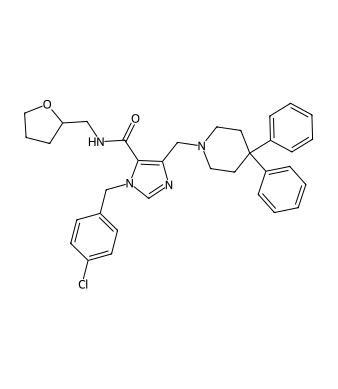 O=C(NCC1CCCO1)c1c(CN2CCC(c3ccccc3)(c3ccccc3)CC2)ncn1Cc1ccc(Cl)cc1